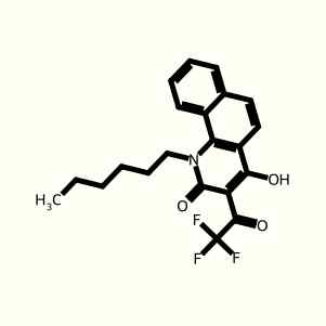 CCCCCCn1c(=O)c(C(=O)C(F)(F)F)c(O)c2ccc3ccccc3c21